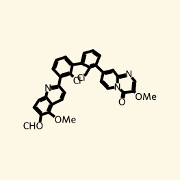 COc1cnc2cc(-c3cccc(-c4cccc(-c5ccc6c(OC)c(C=O)ccc6n5)c4Cl)c3Cl)ccn2c1=O